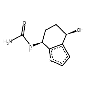 NC(=O)N[C@H]1CC[C@@H](O)c2ccsc21